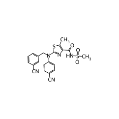 Cc1sc(N(Cc2cccc(C#N)c2)c2ccc(C#N)cc2)nc1C(=O)NS(C)(=O)=O